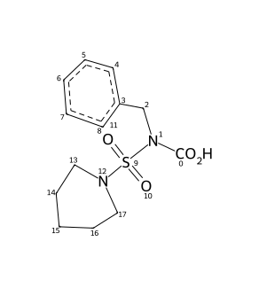 O=C(O)N(Cc1ccccc1)S(=O)(=O)N1CCCCC1